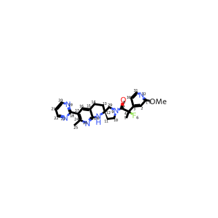 COc1cc(C(C)(F)C(=O)N2CC[C@@]3(CCc4cc(-c5ncccn5)c(C)nc4N3)C2)ccn1